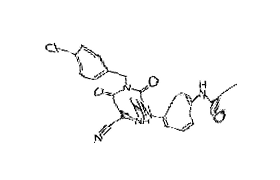 CC(=O)Nc1cccc(NC(=O)N(Cc2ccc(Cl)cc2)C(=O)C(=N)C#N)c1